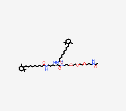 CC(=O)NCCCOCCOCCOCCCNC(=O)[C@H](CCCCNC(=O)CCCCCCCCC1=C(C)CCCC1(C)C)NC(=O)CCCCCCCCC1=C(C)CCCC1(C)C